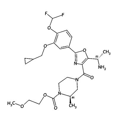 COCCOC(=O)N1CCN(C(=O)c2nc(-c3ccc(OC(F)F)c(OCC4CC4)c3)oc2[C@H](C)N)C[C@H]1C